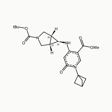 COC(=O)c1cn(C23CC(C2)C3)c(=O)cc1N[C@H]1[C@@H]2CN(C(=O)OC(C)(C)C)C[C@@H]21